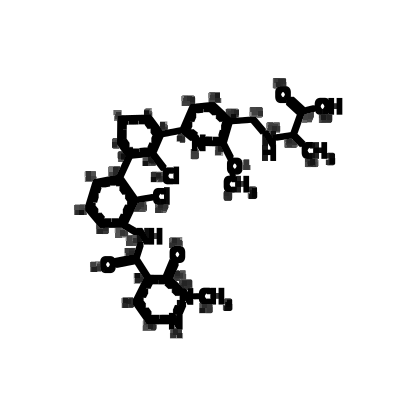 COc1nc(-c2cccc(-c3cccc(NC(=O)c4ccnn(C)c4=O)c3Cl)c2Cl)ccc1CNC(C)C(=O)O